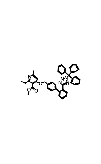 CCc1nc(C)cc(OCc2ccc(-c3ccccc3-c3nnn(C(c4ccccc4)(c4ccccc4)c4ccccc4)n3)cc2)c1C(=O)OC